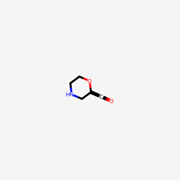 O=C=C1CNCCO1